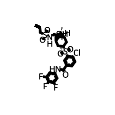 C=CCS(=O)(=O)NC[C@@]1(O)C2C[C@@H](S(=O)(=O)c3cc(C(=O)Nc4cc(F)c(F)c(F)c4)ccc3Cl)C[C@@H]1[C@@H](C)C2